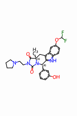 C[C@@]12Cc3c([nH]c4ccc(OC(F)F)cc34)[C@@H](c3cccc(O)c3)N1C(=O)N(CCN1CCCC1)C2=O